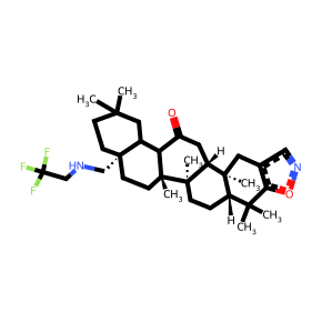 CC1(C)CC[C@]2(CNCC(F)(F)F)CC[C@]3(C)C(C(=O)C[C@@H]4[C@@]5(C)Cc6cnoc6C(C)(C)[C@@H]5CC[C@]43C)C2C1